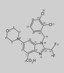 O=C(O)c1cc(N2CCOCC2)cc2c1nc(C(F)F)n2Cc1cccc(Cl)c1Cl